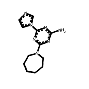 Nc1nc(N2CCCCCC2)nc(-n2ccnc2)n1